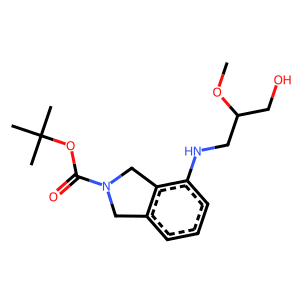 COC(CO)CNc1cccc2c1CN(C(=O)OC(C)(C)C)C2